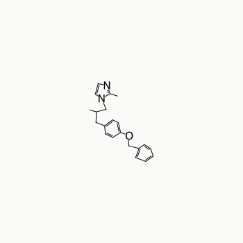 Cc1nccn1CC(C)Cc1ccc(OCc2ccccc2)cc1